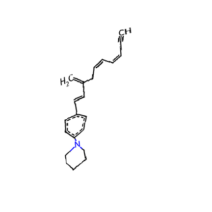 C#C/C=C\C=C/CC(=C)/C=C/c1ccc(N2CCCCC2)cc1